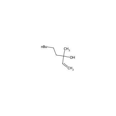 C=CC(C)(O)CCCCCC